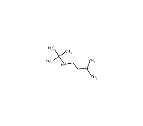 CN(C)CCN[Si](C)(C)C